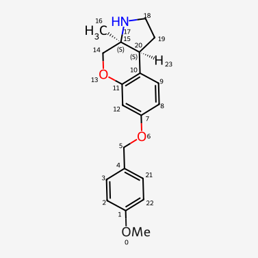 COc1ccc(COc2ccc3c(c2)OC[C@@]2(C)NCC[C@@H]32)cc1